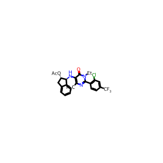 CCn1c(-c2ccc(C(F)(F)F)cc2Cl)nc(C)c(N[C@H]2c3ccccc3C[C@@H]2OC(C)=O)c1=O